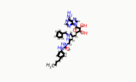 CCCCc1ccc(NC(=O)NCCC[C@H](CNCc2ccccc2)C[C@H]2O[C@@H](n3cnc4c(N)ncnc43)[C@@H](O)C2O)cc1